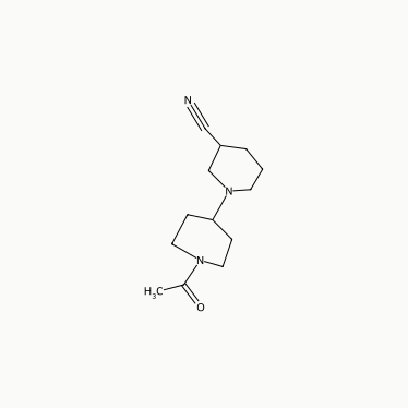 CC(=O)N1CCC(N2CCCC(C#N)C2)CC1